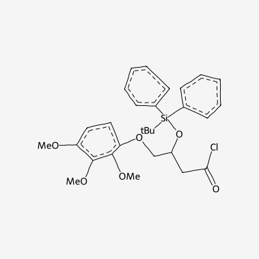 COc1ccc(OCC(CC(=O)Cl)O[Si](c2ccccc2)(c2ccccc2)C(C)(C)C)c(OC)c1OC